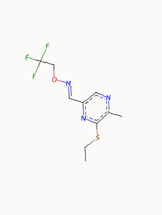 CCSc1nc(/C=N/OCC(F)(F)F)cnc1C